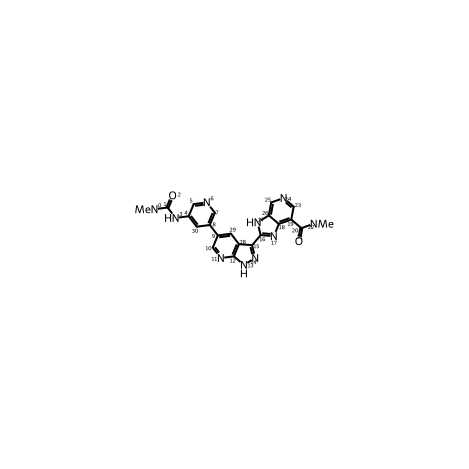 CNC(=O)Nc1cncc(-c2cnc3[nH]nc(-c4nc5c(C(=O)NC)cncc5[nH]4)c3c2)c1